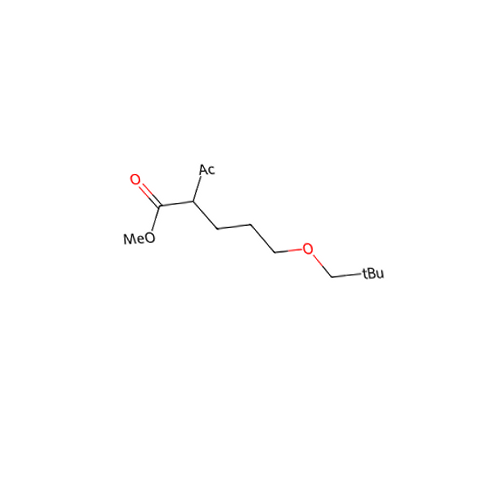 COC(=O)C(CCCOCC(C)(C)C)C(C)=O